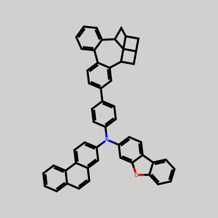 c1ccc2c(c1)-c1ccc(-c3ccc(N(c4ccc5c(ccc6ccccc65)c4)c4ccc5c(c4)oc4ccccc45)cc3)cc1C1CC3CC4CC2C431